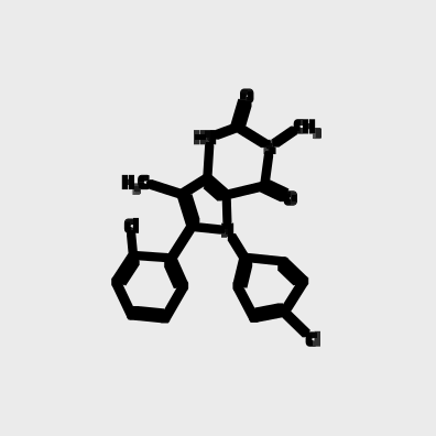 Cc1c(-c2ccccc2Cl)n(-c2ccc(Cl)cc2)c2c(=O)n(C)c(=O)[nH]c12